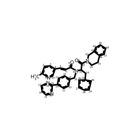 Cc1ccc(C=CC(=O)N(Cc2ccc(-c3ncccn3)cc2)C(Cc2ccccc2)C(=O)N2CCc3ccccc3C2)cn1